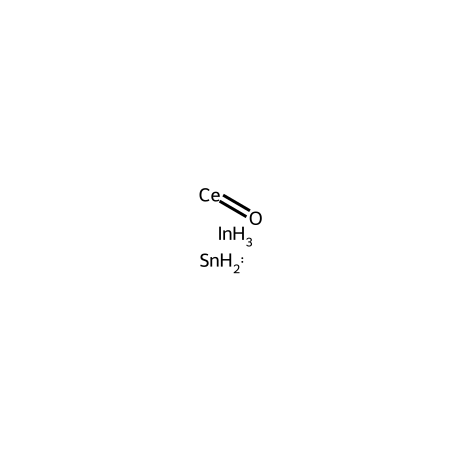 [InH3].[O]=[Ce].[SnH2]